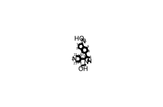 OCCn1ncc(-c2ccc3c(c2)CCC3=NO)c1-c1ccncc1